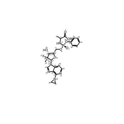 COC(=O)C(C)NP(=O)(OC[C@H]1O[C@@H](n2cnc3c(N4CC4)ncnc32)[C@](C)(F)[C@@H]1O)Oc1ccccc1